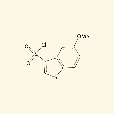 COc1ccc2scc(S(=O)(=O)Cl)c2c1